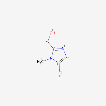 Cn1c(Cl)cnc1CO